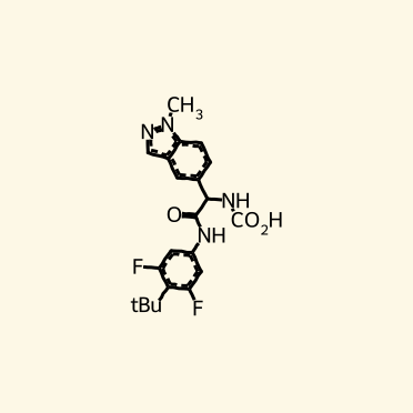 Cn1ncc2cc(C(NC(=O)O)C(=O)Nc3cc(F)c(C(C)(C)C)c(F)c3)ccc21